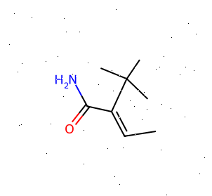 C/C=C(/C(N)=O)C(C)(C)C